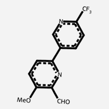 COc1ccc(-c2ccc(C(F)(F)F)nc2)nc1C=O